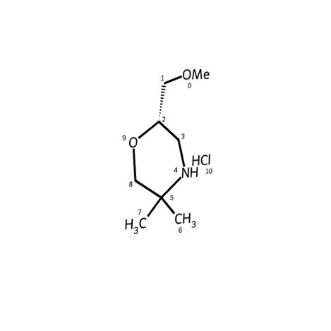 COC[C@@H]1CNC(C)(C)CO1.Cl